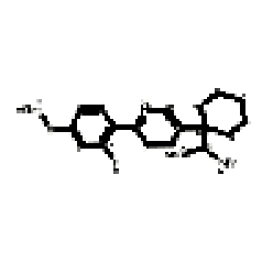 CCCCCCCCOc1ccc(-c2ccc(C3(C(CCC)CCCC)CCCCC3)cn2)c(F)c1